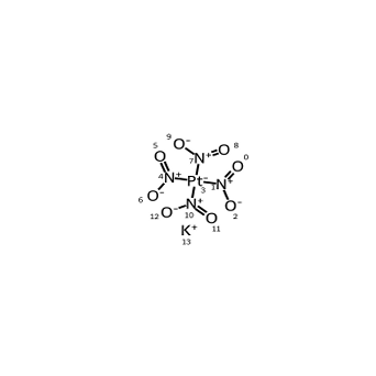 O=[N+]([O-])[Pt-]([N+](=O)[O-])([N+](=O)[O-])[N+](=O)[O-].[K+]